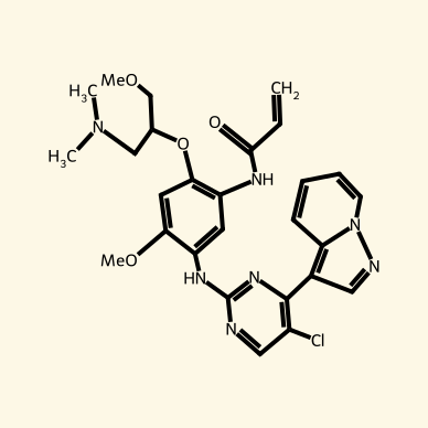 C=CC(=O)Nc1cc(Nc2ncc(Cl)c(-c3cnn4ccccc34)n2)c(OC)cc1OC(COC)CN(C)C